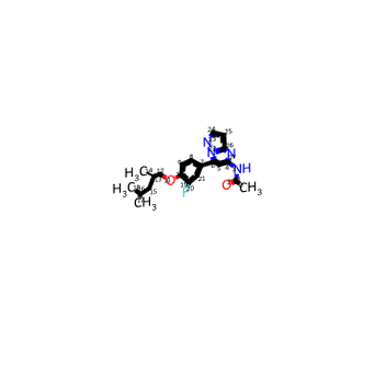 CC(=O)Nc1cc(-c2ccc(OC[C@H](C)CC(C)C)c(F)c2)n2nccc2n1